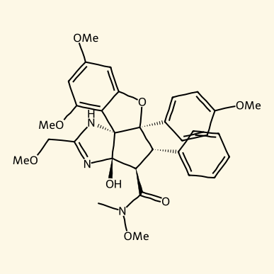 COCC1=N[C@@]2(O)[C@H](C(=O)N(C)OC)[C@@H](c3ccccc3)[C@]3(c4ccc(OC)cc4)Oc4cc(OC)cc(OC)c4[C@]23N1